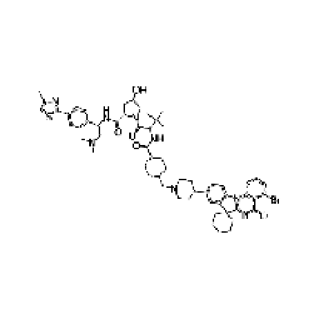 Cc1csc(-c2ccc([C@H](CN(C)C)NC(=O)[C@@H]3C[C@@H](O)CN3C(=O)[C@@H](NC(=O)C3CCC(CN4CCC(c5ccc6c(c5)C5(CCCCC5)c5nc(=O)c7c(Br)cccc7n5-6)CC4)CC3)C(C)(C)C)cc2)n1